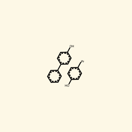 CC(C)c1ccc(O)cc1.Oc1ccc(-c2ccccc2)cc1